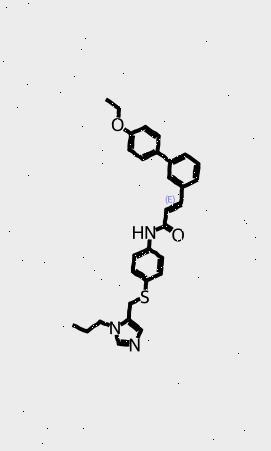 CCCn1cncc1CSc1ccc(NC(=O)/C=C/c2cccc(-c3ccc(OCC)cc3)c2)cc1